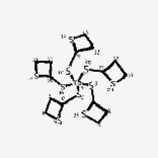 C1CC([S][Ta]([S]C2CCS2)([S]C2CCS2)([S]C2CCS2)[S]C2CCS2)S1